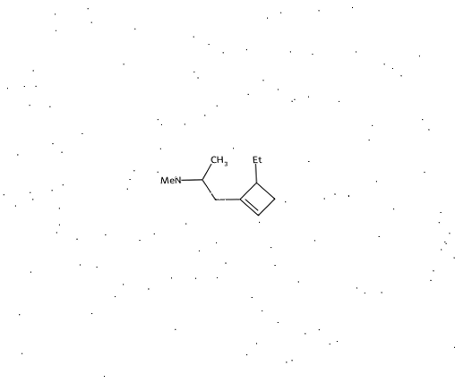 CCC1CC=C1CC(C)NC